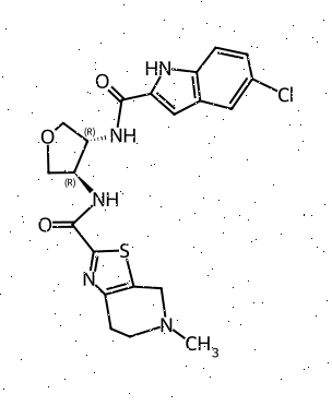 CN1CCc2nc(C(=O)N[C@H]3COC[C@@H]3NC(=O)c3cc4cc(Cl)ccc4[nH]3)sc2C1